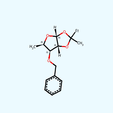 CCC1(C)O[C@H]2O[C@H](C)[C@H](OCc3ccccc3)[C@H]2O1